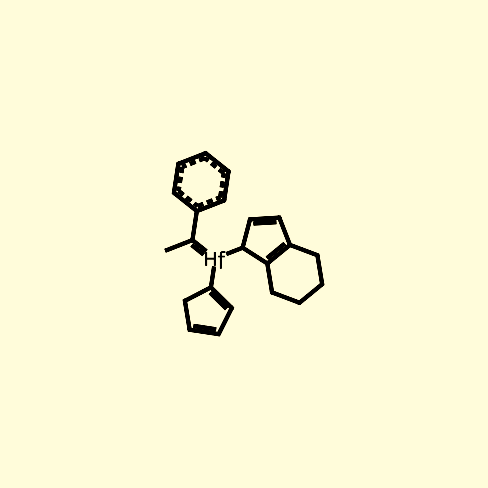 C/[C](c1ccccc1)=[Hf](\[C]1=CC=CC1)[CH]1C=CC2=C1CCCC2